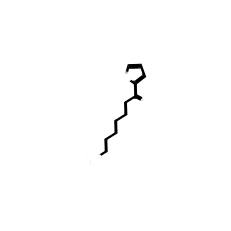 CCCCCCCC(=O)c1ccco1